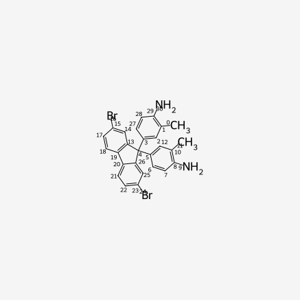 Cc1cc(C2(c3ccc(N)c(C)c3)c3cc(Br)ccc3-c3ccc(Br)cc32)ccc1N